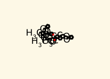 CC1CC(OC(=O)c2ccccc2)C(OC(=O)c2ccccc2)[C@H](OC[C@@H](C)CCC(=O)CC(C=O)C2(C)CCC3C(CCC4CC(OC(=O)c5ccccc5)CCC43C)C2C)O1